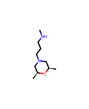 CNCCCN1C[C@@H](C)O[C@@H](C)C1